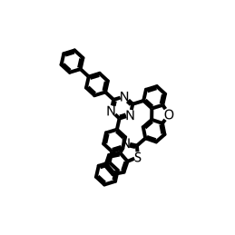 c1ccc(-c2ccc(-c3nc(-c4ccc(-c5ccccc5)cc4)nc(-c4cccc5oc6ccc(-c7nc8ccccc8s7)cc6c45)n3)cc2)cc1